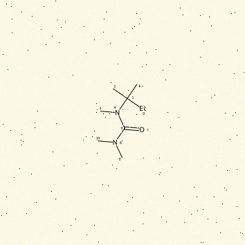 CCC(C)(C)N(C)C(=O)N(C)C